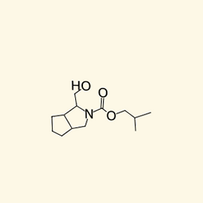 CC(C)COC(=O)N1CC2CCCC2C1CO